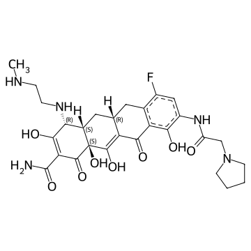 CNCCN[C@H]1C(O)=C(C(N)=O)C(=O)[C@@]2(O)C(O)=C3C(=O)c4c(O)c(NC(=O)CN5CCCC5)cc(F)c4C[C@H]3C[C@@H]12